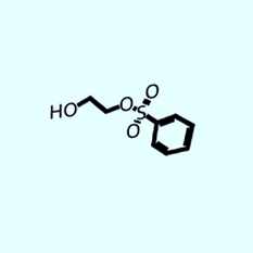 O=S(=O)(OCCO)c1ccccc1